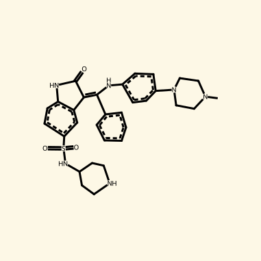 CN1CCN(c2ccc(N/C(=C3\C(=O)Nc4ccc(S(=O)(=O)NC5CCNCC5)cc43)c3ccccc3)cc2)CC1